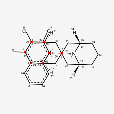 CC1C[C@@H]2C[C@H](C1)C[C@@H](N1[C@@H]3CCC[C@H]1C[C@@H](n1c(=O)c(Cl)nc4ccccc41)C3)C2